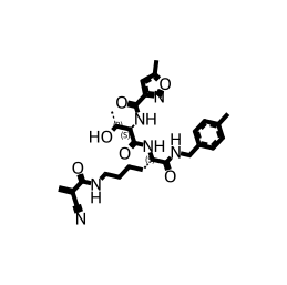 C=C(C#N)C(=O)NCCCC[C@H](NC(=O)[C@@H](NC(=O)c1cc(C)on1)[C@@H](C)O)C(=O)NCc1ccc(C)cc1